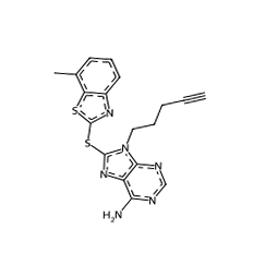 C#CCCCn1c(Sc2nc3cccc(C)c3s2)nc2c(N)ncnc21